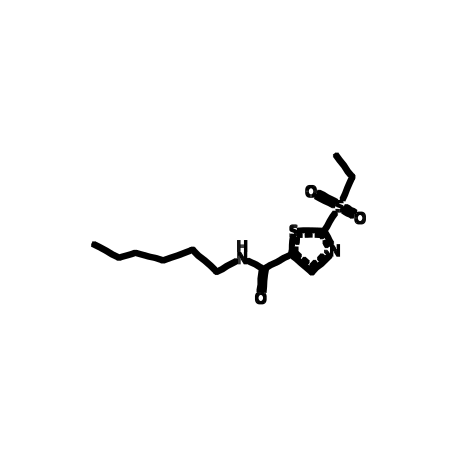 CCCCCCNC(=O)c1cnc(S(=O)(=O)CC)s1